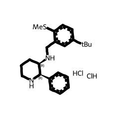 CSc1ccc(C(C)(C)C)cc1CN[C@@H]1CCCN[C@@H]1c1ccccc1.Cl.Cl